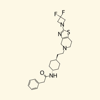 O=C(Cc1ccccc1)N[C@H]1CC[C@H](CCN2CCc3sc(N4CC(F)(F)C4)nc3C2)CC1